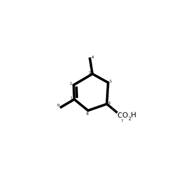 CC1=CC(C)CC(C(=O)O)C1